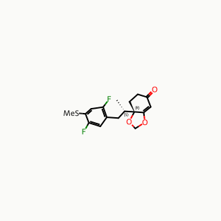 CSc1cc(F)c(C[C@H](C)[C@]23CCC(=O)C=C2OCO3)cc1F